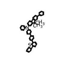 CC1(C)c2cc(-c3ccccc3)ccc2-c2ccc(N(c3ccccc3)c3ccc(-c4ccc(-c5cccc6c5sc5ccccc56)cc4)cc3)cc21